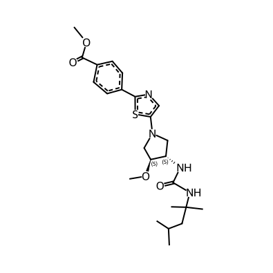 COC(=O)c1ccc(-c2ncc(N3C[C@H](NC(=O)NC(C)(C)CC(C)C)[C@@H](OC)C3)s2)cc1